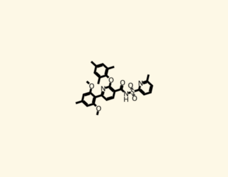 COc1cc(C)cc(OC)c1-c1ccc(C(=O)NS(=O)(=O)c2cccc(C)n2)c(Oc2c(C)cc(C)cc2C)n1